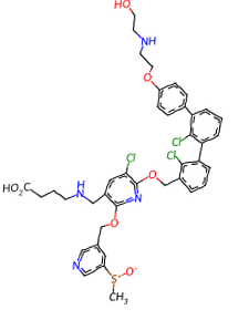 C[S+]([O-])c1cncc(COc2nc(OCc3cccc(-c4cccc(-c5ccc(OCCNCCO)cc5)c4Cl)c3Cl)c(Cl)cc2CNCCCC(=O)O)c1